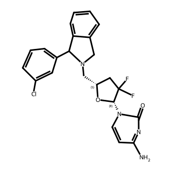 Nc1ccn([C@@H]2O[C@H](CN3Cc4ccccc4C3c3cccc(Cl)c3)CC2(F)F)c(=O)n1